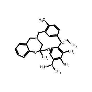 CC[C@@H](c1ccc(C)c(CN2Cc3ccccc3OC(C)(C)C2)c1)c1ccc(N(C)N)c(N)c1C